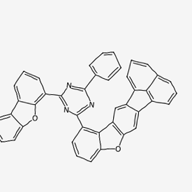 c1ccc(-c2nc(-c3cccc4c3oc3ccccc34)nc(-c3cccc4oc5cc6c(cc5c34)-c3cccc4cccc-6c34)n2)cc1